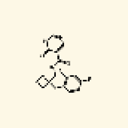 O=C(NCC1(Cc2ccc(F)cc2F)CCC1)c1cnc[nH]c1=O